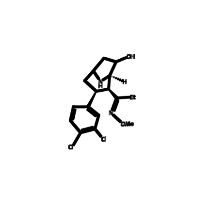 CCC(=NOC)[C@H]1[C@@H](c2ccc(Cl)c(Cl)c2)CC2CC(O)[C@@H]1N2